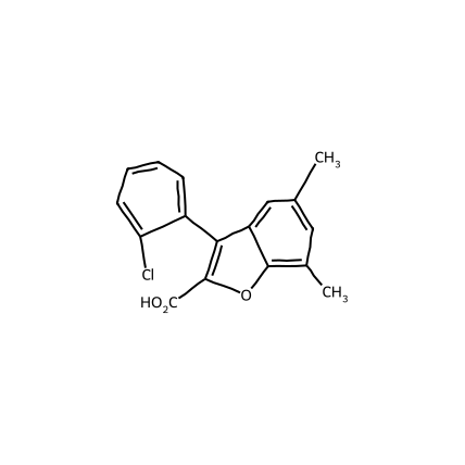 Cc1cc(C)c2oc(C(=O)O)c(-c3ccccc3Cl)c2c1